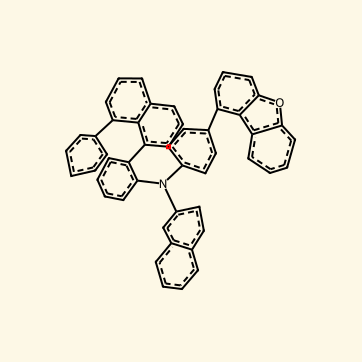 c1ccc(-c2cccc3cccc(-c4ccccc4N(c4ccc(-c5cccc6oc7ccccc7c56)cc4)c4ccc5ccccc5c4)c23)cc1